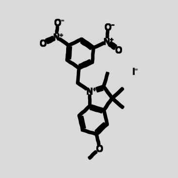 COc1ccc2c(c1)C(C)(C)C(C)=[N+]2Cc1cc([N+](=O)[O-])cc([N+](=O)[O-])c1.[I-]